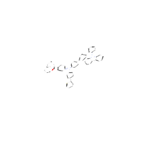 C[C@H]1C[C@H]2C[C@@H]3C[C@@H](C2)C(c2ccc(N(c4ccc(-c5ccc(-c6ccccc6-n6c7ccccc7c7ccccc76)cc5)cc4)c4ccc5c(c4)sc4ccccc45)cc2)(C1)C3